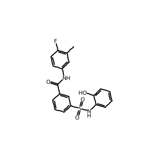 Cc1cc(NC(=O)c2cccc(S(=O)(=O)Nc3ccccc3O)c2)ccc1F